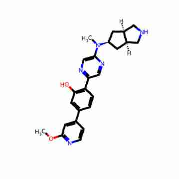 COc1cc(-c2ccc(-c3cnc(N(C)[C@H]4C[C@H]5CNC[C@H]5C4)cn3)c(O)c2)ccn1